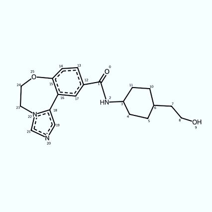 O=C(NC1CCC(CCO)CC1)c1ccc2c(c1)-c1cncn1CCO2